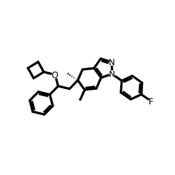 CC1=Cc2c(cnn2-c2ccc(F)cc2)C[C@]1(C)CC(OC1CCC1)c1ccccc1